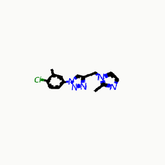 Cc1cc(-n2cc(Cn3ccnc3C)nn2)ccc1Cl